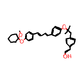 COC1(Oc2ccc(C=CC=Cc3ccc(OC(C)(C)Cc4ccc(C=CO)cc4)cc3)cc2)CCCCC1